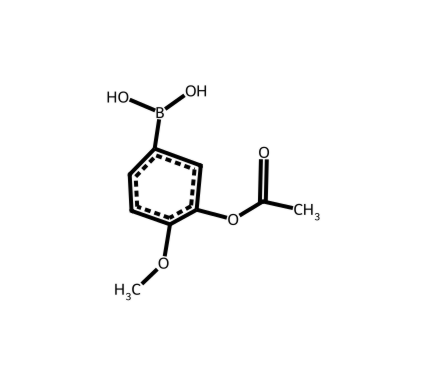 COc1ccc(B(O)O)cc1OC(C)=O